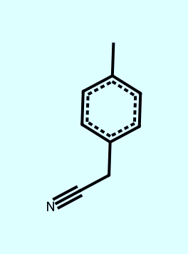 Cc1ccc(CC#N)cc1